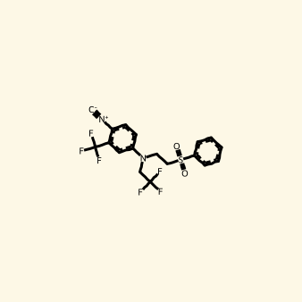 [C-]#[N+]c1ccc(N(CCS(=O)(=O)c2ccccc2)CC(F)(F)F)cc1C(F)(F)F